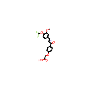 COc1cc(/C=C/C(=O)c2ccc(OCC(=O)O)cc2)ccc1OC(F)F